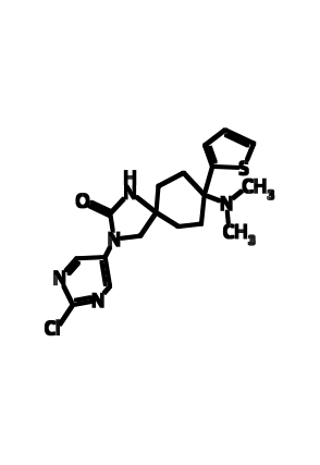 CN(C)C1(c2cccs2)CCC2(CC1)CN(c1cnc(Cl)nc1)C(=O)N2